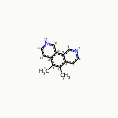 Cc1c(C)c2ccncc2c2cnccc12